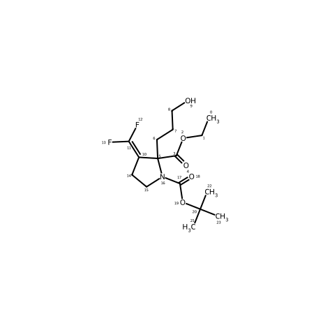 CCOC(=O)C1(CCCO)C(=C(F)F)CCN1C(=O)OC(C)(C)C